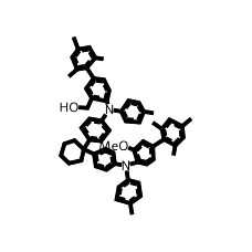 COc1cc(-c2c(C)cc(C)cc2C)ccc1N(c1ccc(C)cc1)c1ccc(C2(c3ccc(N(c4ccc(C)cc4)c4ccc(-c5c(C)cc(C)cc5C)cc4CO)cc3)CCCCC2)cc1